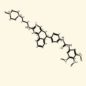 COc1cc(NC(=O)Nc2ccc(C3Cc4cnc(NCCCN5CCN(C)CC5)nc4-c4ccccc43)cc2)cc(OC)c1OC